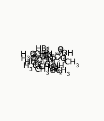 Br.CCOc1cc2c(cc1C(=O)O)C(=N)N(CC(=O)c1cc(C(C)(C)C)c(O)c(C(C)(C)C)c1)C2C(NC(C)=O)C(N)=O